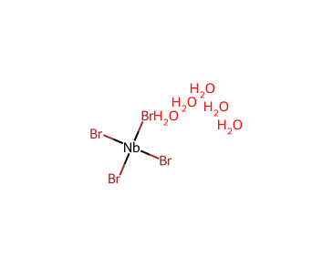 O.O.O.O.O.[Br][Nb]([Br])([Br])[Br]